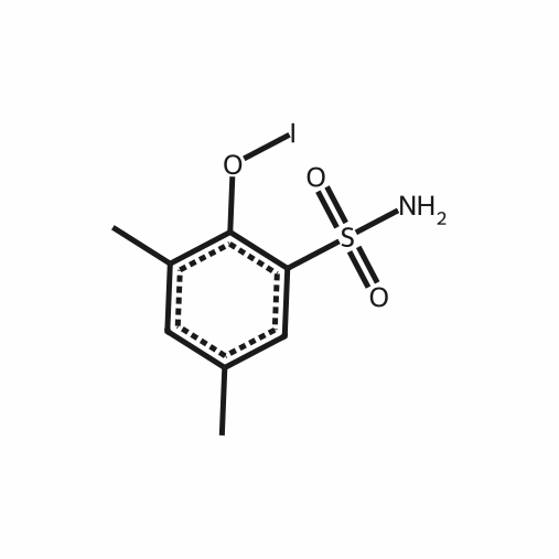 Cc1cc(C)c(OI)c(S(N)(=O)=O)c1